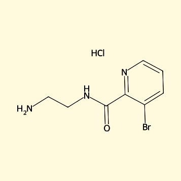 Cl.NCCNC(=O)c1ncccc1Br